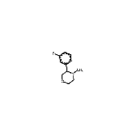 CN1CCOCC1c1cccc(F)c1